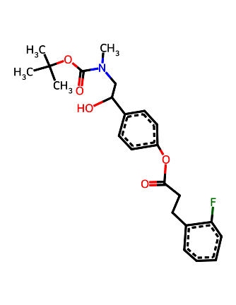 CN(CC(O)c1ccc(OC(=O)CCc2ccccc2F)cc1)C(=O)OC(C)(C)C